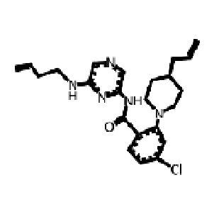 C=CCCNc1cncc(NC(=O)c2ccc(Cl)cc2N2CCC(CC=C)CC2)n1